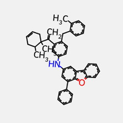 C=C(c1cc(Nc2cc(-c3ccccc3)c3oc4ccccc4c3c2)ccc1Cc1ccccc1C)C1(C)CC=CCC1C